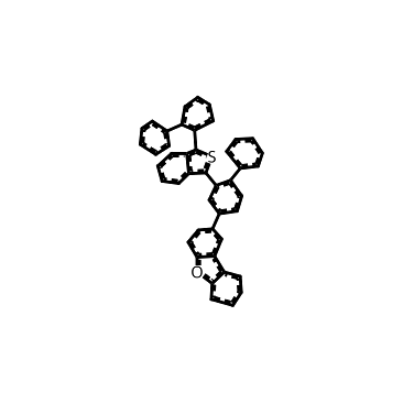 c1ccc(-c2ccccc2-c2sc(-c3cc(-c4ccc5oc6ccccc6c5c4)ccc3-c3ccccc3)c3ccccc23)cc1